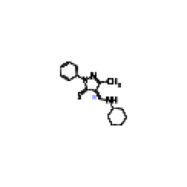 CC1=NN(c2ccccc2)C(=S)/C1=C/NC1CCCCC1